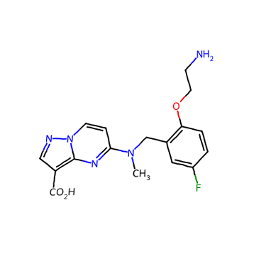 CN(Cc1cc(F)ccc1OCCN)c1ccn2ncc(C(=O)O)c2n1